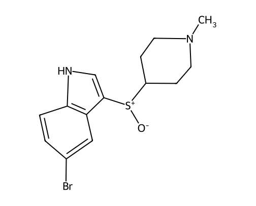 CN1CCC([S+]([O-])c2c[nH]c3ccc(Br)cc23)CC1